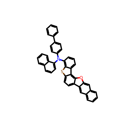 c1ccc(-c2ccc(N(c3cccc4ccccc34)c3cccc4c3sc3ccc5c6cc7ccccc7cc6oc5c34)cc2)cc1